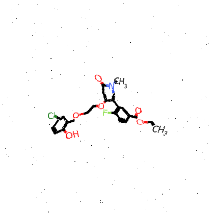 CCOC(=O)c1ccc(F)c(-c2cn(C)c(=O)cc2OCCOCc2cc(Cl)ccc2O)c1